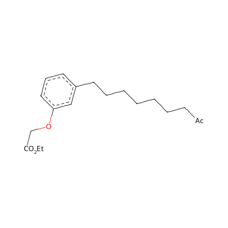 CCOC(=O)COc1cccc(CCCCCCCC(C)=O)c1